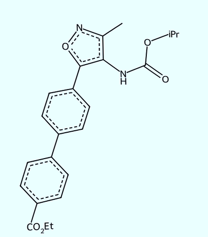 CCOC(=O)c1ccc(-c2ccc(-c3onc(C)c3NC(=O)OC(C)C)cc2)cc1